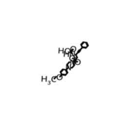 CCOc1ccc(N2CCN(S(=O)(=O)CC(C#Cc3ccccc3)NC(=O)O)CC2)cc1